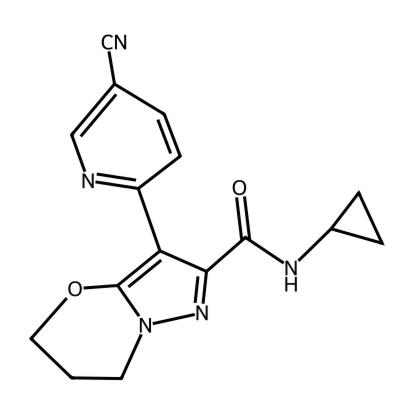 N#Cc1ccc(-c2c(C(=O)NC3CC3)nn3c2OCCC3)nc1